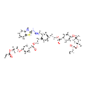 C=CC(=O)OC(C)(C)COc1ccc(C(=O)OCCc2ccc(CCOC(=O)c3ccc(OC(C)(C)CC(C)(C)OC(=O)C=C)cc3)cc2/C=N/Nc2nc3ccccc3s2)cc1